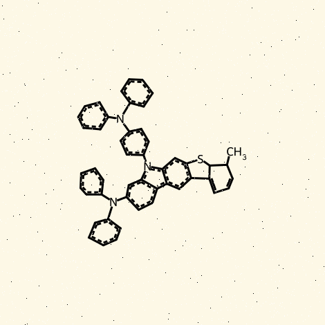 CC1C=CC=C2c3cc4c5ccc(N(c6ccccc6)c6ccccc6)cc5n(-c5ccc(N(c6ccccc6)c6ccccc6)cc5)c4cc3SC21